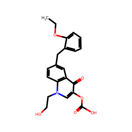 CCOc1ccccc1Cc1ccc2c(c1)c(=O)c(OC(=O)O)cn2CCO